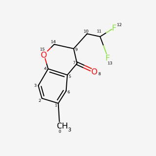 Cc1ccc2c(c1)C(=O)C(CC(F)F)CO2